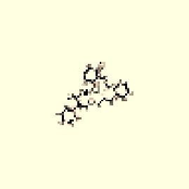 O=C(O)C(=COCCCc1ccccc1CSc1c(Cl)cccc1Cl)c1ccccn1